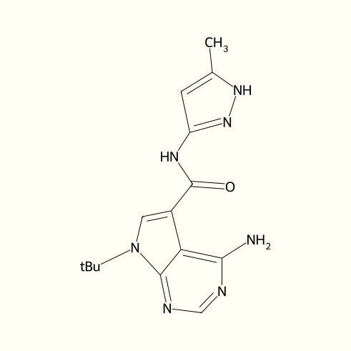 Cc1cc(NC(=O)c2cn(C(C)(C)C)c3ncnc(N)c23)n[nH]1